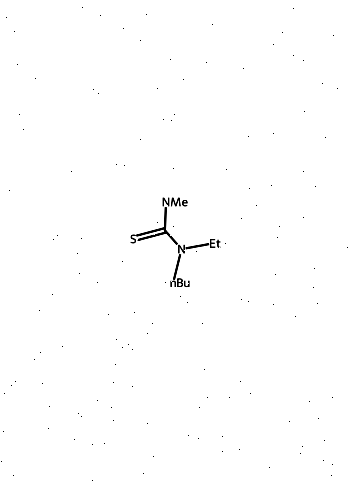 CCCCN(CC)C(=S)NC